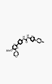 COc1cnc(-c2ccc(NC(=O)Nc3ccc(N4CCN(C)CC4)cn3)cc2)nc1N1CCOCC1